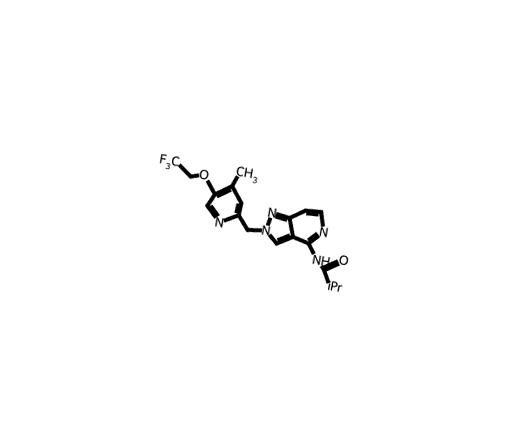 Cc1cc(Cn2cc3c(NC(=O)C(C)C)nccc3n2)ncc1OCC(F)(F)F